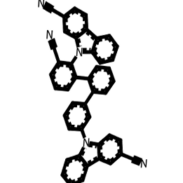 N#Cc1ccc2c(c1)c1ccccc1n2-c1cccc(-c2ccccc2-c2cccc(C#N)c2-n2c3ccccc3c3ccc(C#N)cc32)c1